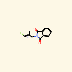 C/C(=C\F)CN1C(=O)c2ccccc2C1=O